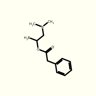 BC(CN(C)C)OC(=O)Cc1ccccc1